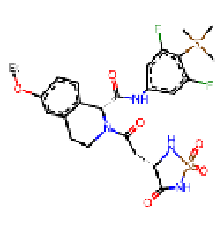 CCOc1ccc2c(c1)CCN(C(=O)C[C@@H]1NS(=O)(=O)NC1=O)[C@H]2C(=O)Nc1cc(F)c(S(C)(C)C)c(F)c1